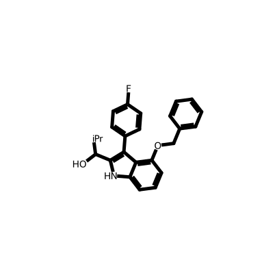 CC(C)C(O)c1[nH]c2cccc(OCc3ccccc3)c2c1-c1ccc(F)cc1